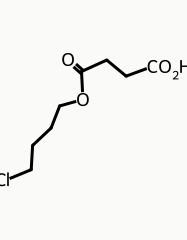 O=C(O)CCC(=O)OCCCCCl